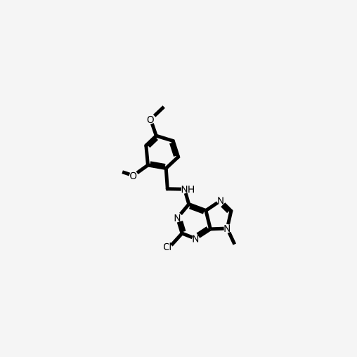 COc1ccc(CNc2nc(Cl)nc3c2ncn3C)c(OC)c1